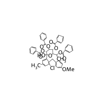 COc1ccc(Cc2c(Cl)cc(C)cc2[C@@]2(O)O[C@H]([C@H](C)OC(=O)c3ccccc3)[C@@H](OC(=O)c3ccccc3)[C@H](OC(=O)c3ccccc3)[C@H]2OC(=O)c2ccccc2)cc1